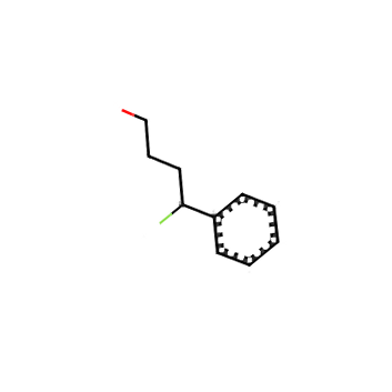 O[CH]CCC(F)c1ccccc1